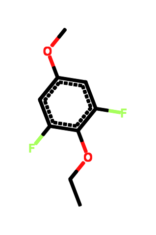 CCOc1c(F)cc(OC)cc1F